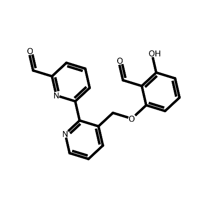 O=Cc1cccc(-c2ncccc2COc2cccc(O)c2C=O)n1